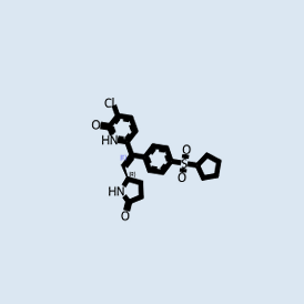 O=C1CC[C@H](/C=C(\c2ccc(S(=O)(=O)C3CCCC3)cc2)c2ccc(Cl)c(=O)[nH]2)N1